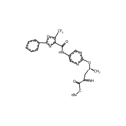 C[C@@H](CC(=N)C(=O)OC(C)(C)C)Oc1ncc(NC(=O)c2nc(-c3ccccc3)oc2C(F)(F)F)cn1